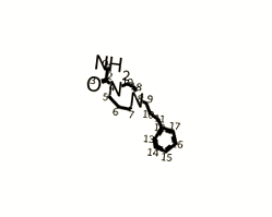 NCC(=O)N1CCCN(CCCc2ccccc2)CC1